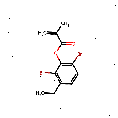 C=C(C)C(=O)Oc1c(Br)ccc(CC)c1Br